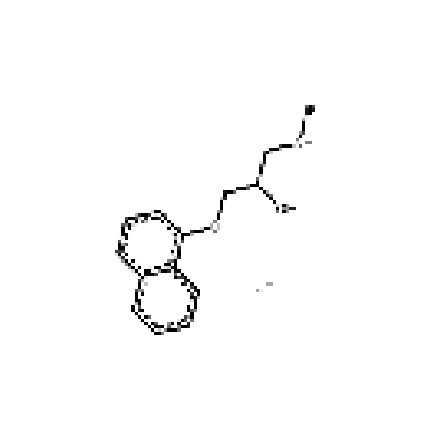 CC(C)NCC(O)COc1cccc2ccccc12.[LiH]